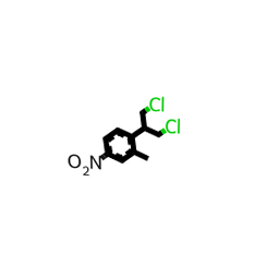 Cc1cc([N+](=O)[O-])ccc1C(CCl)CCl